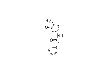 Cc1ccc(NC(=O)Oc2ccccc2)cc1O